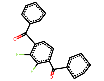 O=C(c1ccccc1)c1ccc(C(=O)c2ccccc2)c(F)c1F